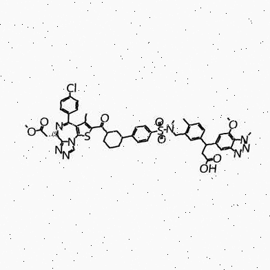 COC(=O)C[C@@H]1N=C(c2ccc(Cl)cc2)c2c(sc(C(=O)C3CCCC(c4ccc(S(=O)(=O)N(C)Cc5cc(C(CC(=O)O)c6cc(OC)c7c(c6)nnn7C)ccc5C)cc4)C3)c2C)-n2cnnc21